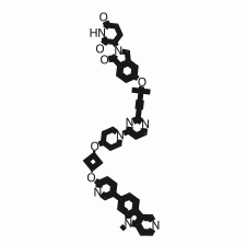 Cn1c2ccncc2c2ccc(-c3ccc(O[C@H]4C[C@H](OC5CCN(c6ccnc(C#CC(C)(C)Oc7ccc8c(c7)CN(C7CCC(=O)NC7=O)C8=O)n6)CC5)C4)nc3)cc21